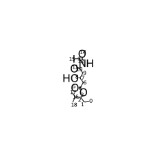 CCC(OC(=O)CC(O)CC(=O)NC(=O)I)C(C)C